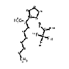 CCCCCCC[C@H](C)N1CCCC1.F[C](F)C(F)(F)F